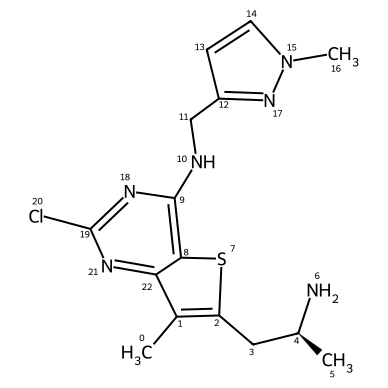 Cc1c(C[C@H](C)N)sc2c(NCc3ccn(C)n3)nc(Cl)nc12